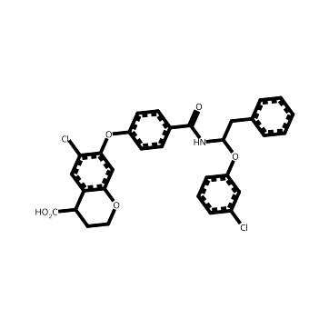 O=C(NC(Cc1ccccc1)Oc1cccc(Cl)c1)c1ccc(Oc2cc3c(cc2Cl)C(C(=O)O)CCO3)cc1